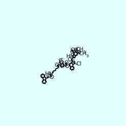 COc1cc2cc(C(=O)N3C[C@@H](CCl)c4c3cc(OC(=O)N3CCN(C(=O)CCCCCNC(=O)OCC5c6ccccc6-c6ccccc65)C5CSSCC53)c3ccccc43)[nH]c2c(OC)c1OC